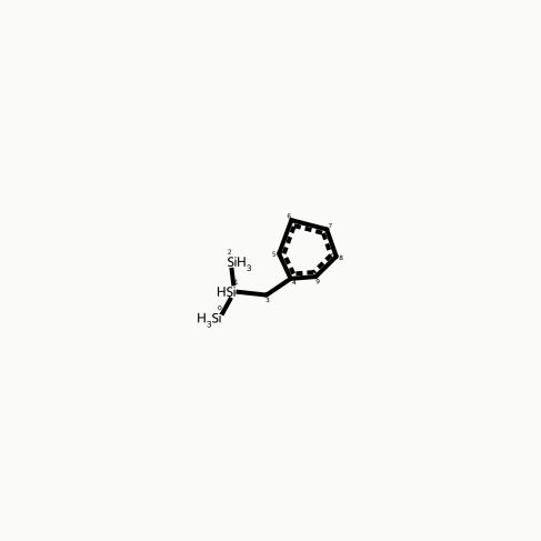 [SiH3][SiH]([SiH3])Cc1ccccc1